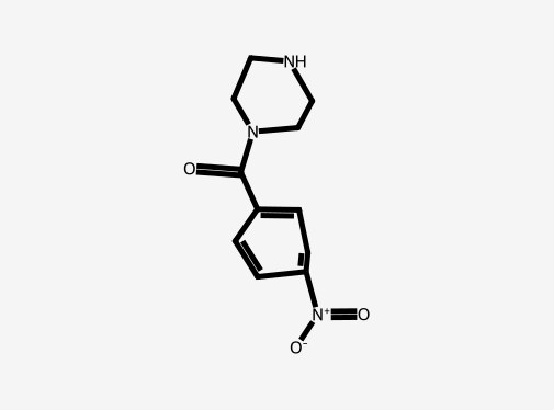 O=C(c1ccc([N+](=O)[O-])cc1)N1CCNCC1